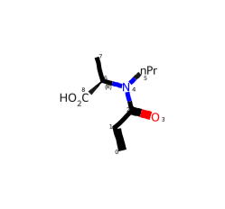 C=CC(=O)N(CCC)[C@H](C)C(=O)O